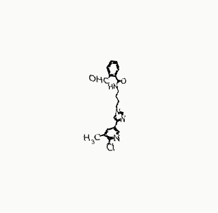 Cc1cc(-c2cn(CCCCNC(=O)c3ccccc3C=O)cn2)cnc1Cl